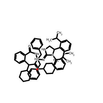 COc1ccccc1N1C(=[N][Hf]2([CH2]c3ccccc3)([CH2]c3ccccc3)[NH]C(=O)c3ccccc3C(C3CCCCC3)[C]2=NC2CCCCC2)NCC1c1c(C(C)C)cccc1C(C)C